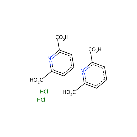 Cl.Cl.O=C(O)c1cccc(C(=O)O)n1.O=C(O)c1cccc(C(=O)O)n1